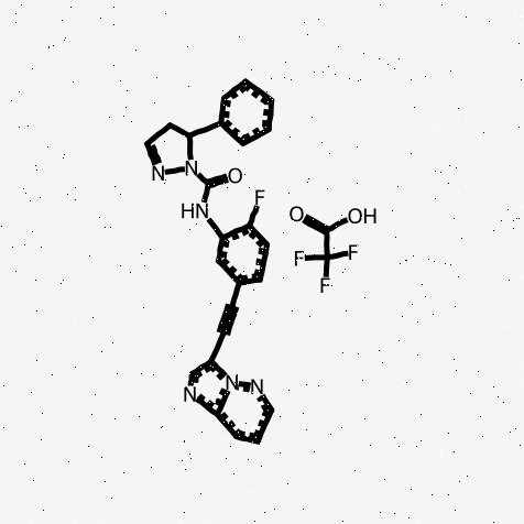 O=C(Nc1cc(C#Cc2cnc3cccnn23)ccc1F)N1N=CCC1c1ccccc1.O=C(O)C(F)(F)F